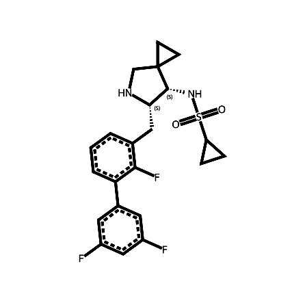 O=S(=O)(N[C@@H]1[C@H](Cc2cccc(-c3cc(F)cc(F)c3)c2F)NCC12CC2)C1CC1